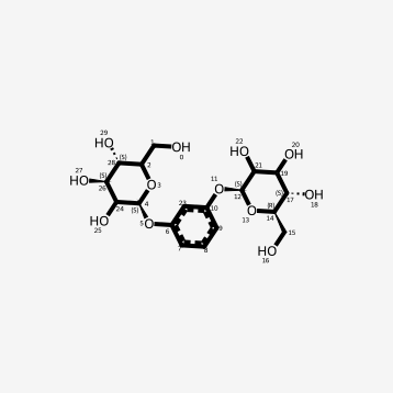 OCC1O[C@@H](Oc2cccc(O[C@@H]3O[C@H](CO)[C@@H](O)C(O)C3O)c2)C(O)[C@@H](O)[C@@H]1O